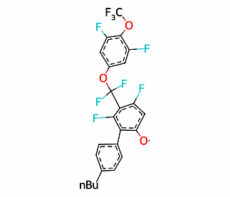 CCCCc1ccc(-c2c([O])cc(F)c(C(F)(F)Oc3cc(F)c(OC(F)(F)F)c(F)c3)c2F)cc1